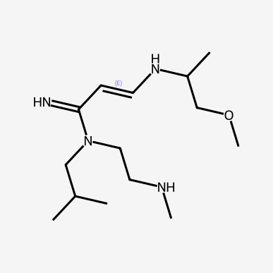 CNCCN(CC(C)C)C(=N)/C=C/NC(C)COC